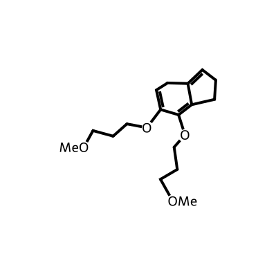 COCCCOC1=CCC2=CCCC2=C1OCCCOC